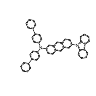 c1ccc(-c2ccc(N(c3ccc(-c4ccccc4)cc3)c3ccc4cc5cc(-n6c7ccccc7c7ccccc76)ccc5cc4c3)cc2)cc1